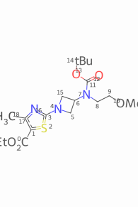 CCOC(=O)c1sc(N2CC(N(CCOC)C(=O)OC(C)(C)C)C2)nc1C